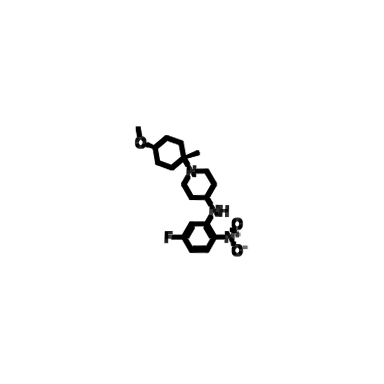 CO[C@H]1CC[C@](C)(N2CCC(Nc3cc(F)ccc3[N+](=O)[O-])CC2)CC1